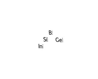 [B].[Ge].[In].[Si]